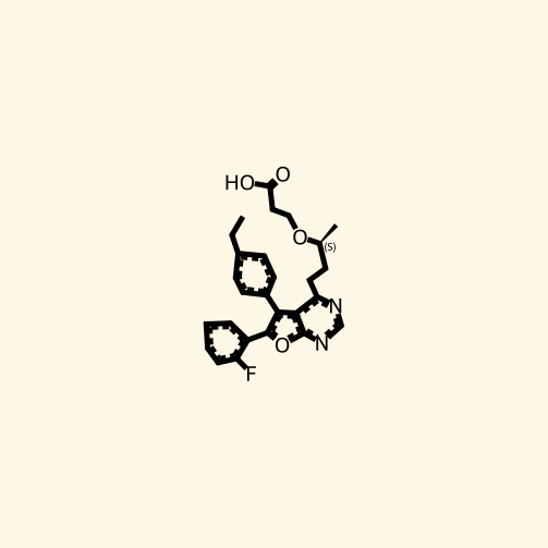 CCc1ccc(-c2c(-c3ccccc3F)oc3ncnc(CC[C@H](C)OCCC(=O)O)c23)cc1